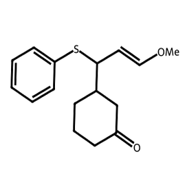 COC=CC(Sc1ccccc1)C1CCCC(=O)C1